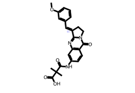 COc1cccc(/C=C2\CCn3c2nc2cc(NC(=O)C(C)(C)C(=O)O)ccc2c3=O)c1